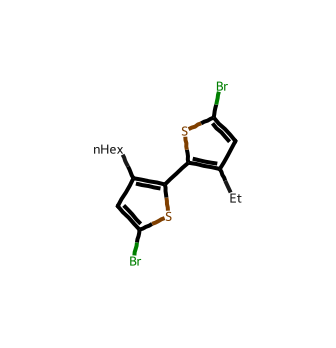 CCCCCCc1cc(Br)sc1-c1sc(Br)cc1CC